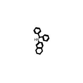 [CH]1CCc2cc(NC(c3ccccc3)c3ccccc3)ccc2C1